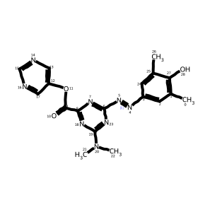 Cc1cc(/N=N/c2nc(C(=O)Oc3cncnc3)nc(N(C)C)n2)cc(C)c1O